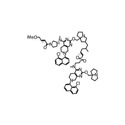 COC/C=C/C(=O)N1CC[C@@H](N(C)c2nc(OCC34CCCN3CC(CC(C)C/C=C/S(=O)(=O)CCN(C)c3nc(OCC56CCCN5CCC6)nc5c3CCN(c3cccc6cccc(Cl)c36)C5)C4)nc3c2CCN(c2cccc4cccc(Cl)c24)C3)C1